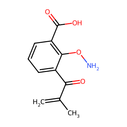 C=C(C)C(=O)c1cccc(C(=O)O)c1ON